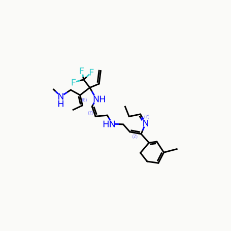 C=CC(N/C=C\CNC/C=C(\N=C/CC)C1=CC(C)=CCC1)(/C(=C/C)CNC)C(F)(F)F